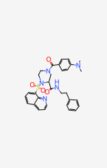 CN(C)c1ccc(C(=O)N2CCN(S(=O)(=O)c3cccc4cccnc34)C(C(=O)NCCc3ccccc3)C2)cc1